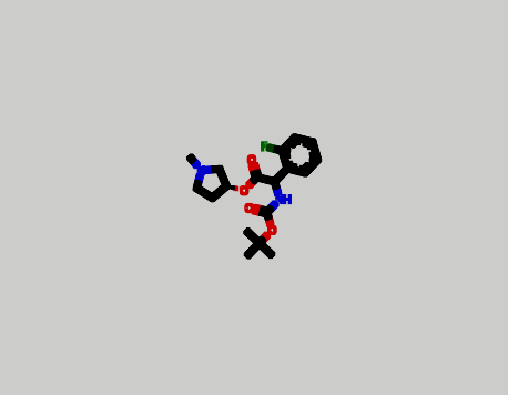 CN1CC[C@@H](OC(=O)C(NC(=O)OC(C)(C)C)c2ccccc2F)C1